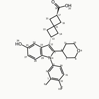 Cc1cc(-n2c(C3CCOCC3)c([C@H]3CC4(C[C@H](C(=O)O)C4)C3)c3cc(O)ccc32)ccc1F